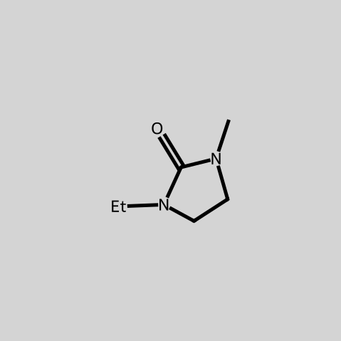 CCN1CCN(C)C1=O